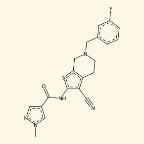 Cn1cc(C(=O)Nc2sc3c(c2C#N)CCN(Cc2cccc(F)c2)C3)cn1